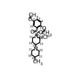 COc1ccc(OC)c(S(=O)(=O)N2CCC(N3CCC(C)CC3)CC2)c1.Cl